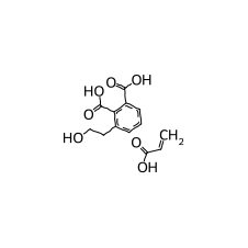 C=CC(=O)O.O=C(O)c1cccc(CCO)c1C(=O)O